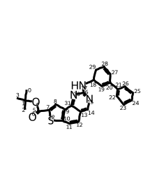 CC(C)(C)OC(=O)c1cc2c(ccc3cnc(NC4C=C(c5ccccc5)C=CC4)nc32)s1